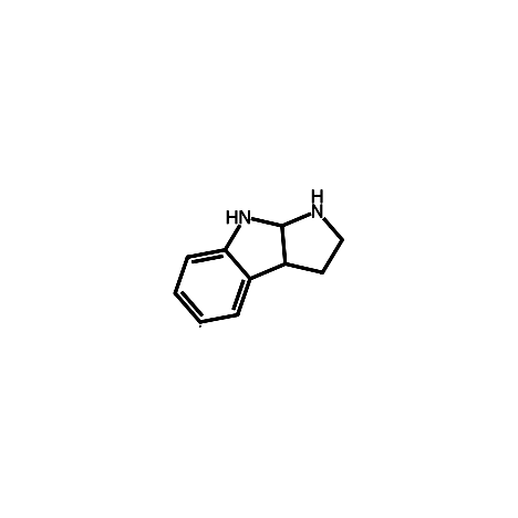 [c]1ccc2c(c1)C1CCNC1N2